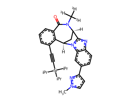 [2H]C([2H])([2H])N1C(=O)c2cccc(C#C[Si](C(C)C)(C(C)C)C(C)C)c2[C@H]2C[C@@H]1c1nc3ccc(-c4ccn(C)n4)cc3n12